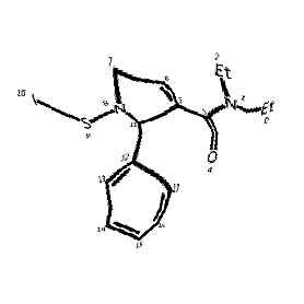 CCN(CC)C(=O)C1=CCN(SI)C1c1ccccc1